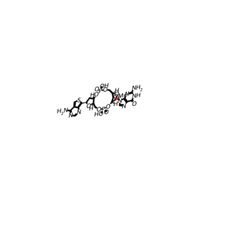 CO[C@H]1[C@H]2OP(=O)(O)OC[C@H]3O[C@@H](c4scc5c(N)ncnc45)C[C@@H]3OP(=O)(O)OC[C@H]1O[C@H]2n1cnc2c(=O)[nH]c(N)nc21